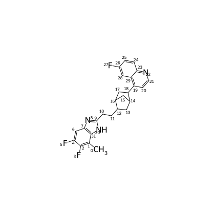 Cc1c(F)c(F)cc2nc(CCC3CC4CC3CC4c3ccnc4ccc(F)cc34)[nH]c12